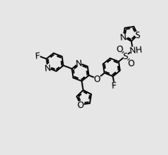 O=S(=O)(Nc1nccs1)c1ccc(Oc2cnc(-c3ccc(F)nc3)cc2-c2ccoc2)c(F)c1